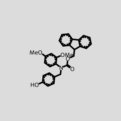 COc1ccc(N(Cc2ccc(O)cc2)C(=O)OCC2c3ccccc3-c3ccccc32)c(OC)c1